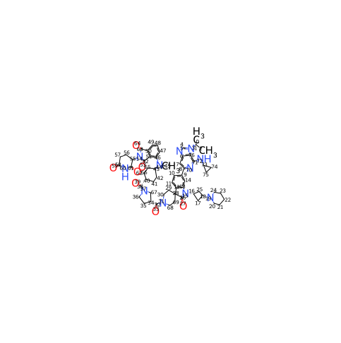 CC(C)n1cnc2cc(-c3ccc4c(c3)N([C@H]3C[C@@H](N5CCCCC5)C3)C(=O)C43CCN(C(=O)[C@@H]4CCN(C(=O)[C@H]5CC[C@H](N(C)c6cccc7c6C(=O)N(C6CCC(=O)NC6=O)C7=O)CC5)C4)CC3)nc(NC3CC3)c21